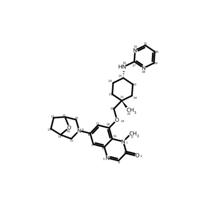 Cn1c(=O)cnc2cc(N3CC4CCC(C3)O4)cc(OC[C@]3(C)CC[C@H](Nc4ncccn4)CC3)c21